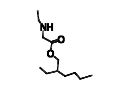 CCCCC(CC)COC(=O)CNCC